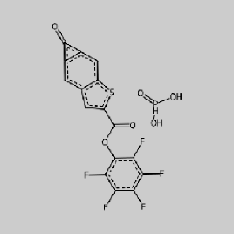 O=C(Oc1c(F)c(F)c(F)c(F)c1F)c1cc2cc3c(=O)c3cc2s1.O=[PH](O)O